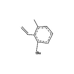 C=Cc1c(C)cccc1C(C)(C)C